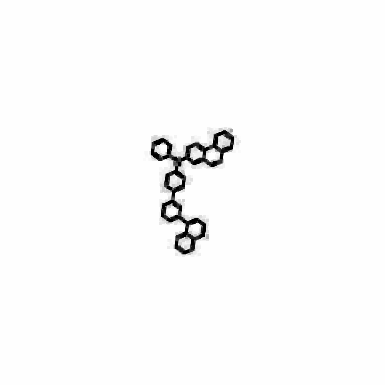 c1ccc(N(c2ccc(-c3cccc(-c4cccc5ccccc45)c3)cc2)c2ccc3c(ccc4ccccc43)c2)cc1